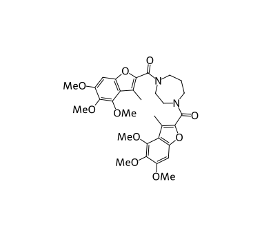 COc1cc2oc(C(=O)N3CCCN(C(=O)c4oc5cc(OC)c(OC)c(OC)c5c4C)CC3)c(C)c2c(OC)c1OC